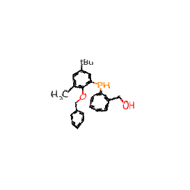 Cc1cc(C(C)(C)C)cc(Pc2ccccc2CO)c1OCc1ccccc1